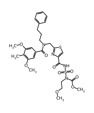 COCCN(C(=O)OC)S(=O)(=O)NC(=O)c1csc(CN(CCCc2ccccc2)C(=O)c2cc(OC)c(C)c(OC)c2)n1